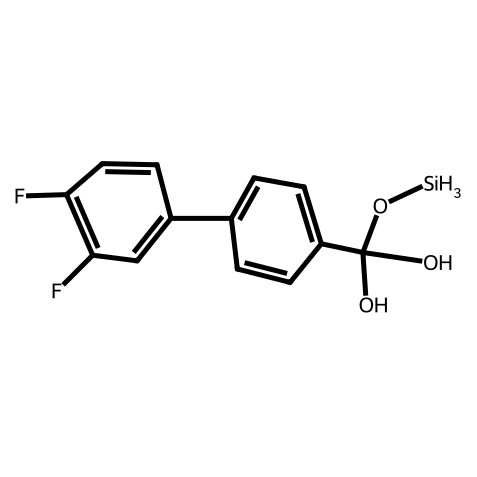 OC(O)(O[SiH3])c1ccc(-c2ccc(F)c(F)c2)cc1